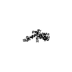 CO[C@H]1C(OP(OCCOCCSC(=O)C(C)(C)C)N(C(C)C)C(C)C)[C@@H](CO)O[C@H]1n1ccc(=O)[nH]c1=O